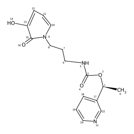 C[C@H](OC(=O)NCCCn1cccc(O)c1=O)c1cccnc1